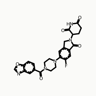 O=C1CCC(N2Cc3cc(N4CCN(C(=O)c5ccc6ocnc6c5)CC4)c(F)cc3C2=O)C(=O)N1